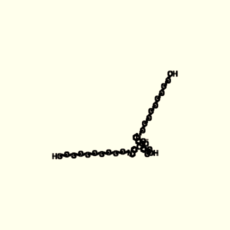 O=S(=O)([O-])c1cc(S(=O)(=O)O)ccc1[C+](c1ccc2c(c1)CCCN2CCOCCOCCOCCOCCOCCOCCOCCOCCOCCO)c1ccc2c(c1)CCCN2CCOCCOCCOCCOCCOCCOCCOCCOCCOCCO